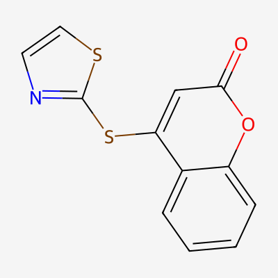 O=c1cc(Sc2nccs2)c2ccccc2o1